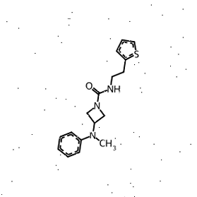 CN(c1ccccc1)C1CN(C(=O)NCCc2cccs2)C1